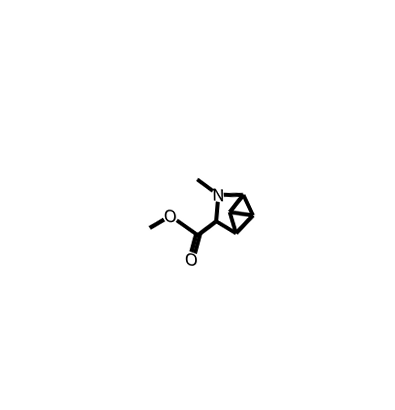 COC(=O)C1C2C3C2C3N1C